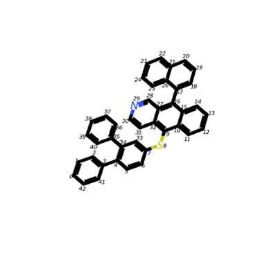 c1ccc(-c2ccc(Sc3c4ccccc4c(-c4cccc5ccccc45)c4cnccc34)cc2-c2ccccc2)cc1